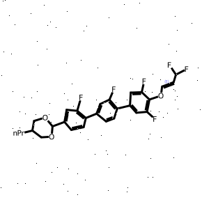 CCCC1COC(c2ccc(-c3ccc(-c4cc(F)c(O/C=C/C(F)F)c(F)c4)c(F)c3)c(F)c2)OC1